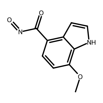 COc1ccc(C(=O)N=O)c2cc[nH]c12